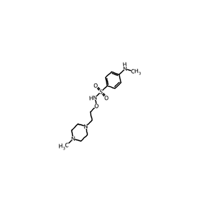 CNc1ccc(S(=O)(=O)NOCCN2CCN(C)CC2)cc1